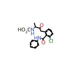 CC(NC(=O)O)C(=O)Cc1cccc(Cl)c1C(=O)Nc1ccccc1